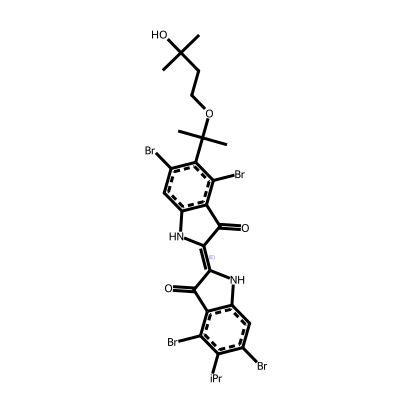 CC(C)c1c(Br)cc2c(c1Br)C(=O)/C(=C1\Nc3cc(Br)c(C(C)(C)OCCC(C)(C)O)c(Br)c3C1=O)N2